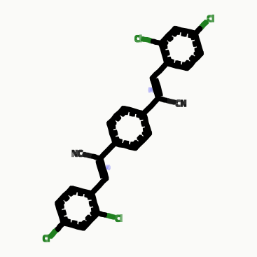 N#C/C(=C\c1ccc(Cl)cc1Cl)c1ccc(/C(C#N)=C/c2ccc(Cl)cc2Cl)cc1